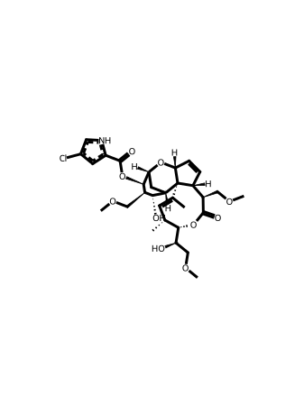 COC[C@@H]1[C@@H](O)[C@@H]2C[C@@H](O[C@@H]3C=C[C@@H]4[C@@H](COC)C(=O)O[C@H]([C@H](O)COC)[C@H](C)/C=C(\C)[C@@]432)[C@@H]1OC(=O)c1cc(Cl)c[nH]1